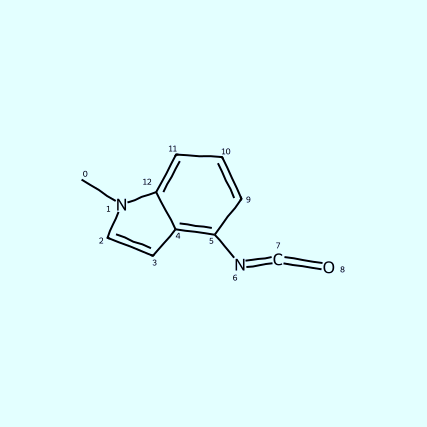 Cn1ccc2c(N=C=O)cccc21